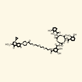 O=C(NCCOCCOCCOCCC(=O)N1CCN(c2cc3c(cc2F)c(=O)c(C(=O)O)cn3C2CC2)CC1)c1cc(O)c(O)c(C(=O)N[C@H]2COC(=O)[C@@H](NC(=O)c3cccc(O)c3O)COC(=O)[C@@H](NC(=O)c3cccc(O)c3O)COC2=O)c1